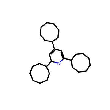 C1=C(C2CCCCCCC2)C=C(C2CCCCCCC2)[N]C1C1CCCCCCC1